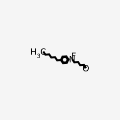 CCCCCCc1ccc(N(F)CCCC=O)cc1